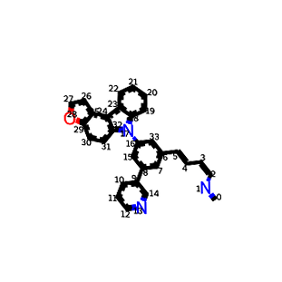 C=N/C=C\C=C\c1cc(-c2cccnc2)cc(-n2c3ccccc3c3c4ccoc4ccc32)c1